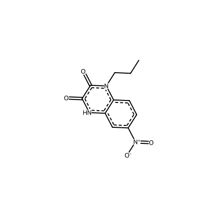 CCCn1c(=O)c(=O)[nH]c2cc([N+](=O)[O-])ccc21